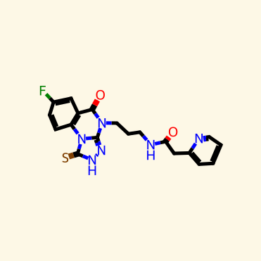 O=C(Cc1ccccn1)NCCCn1c(=O)c2cc(F)ccc2n2c(=S)[nH]nc12